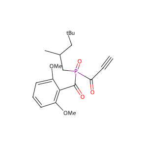 C#CC(=O)P(=O)(CC(C)CC(C)(C)C)C(=O)c1c(OC)cccc1OC